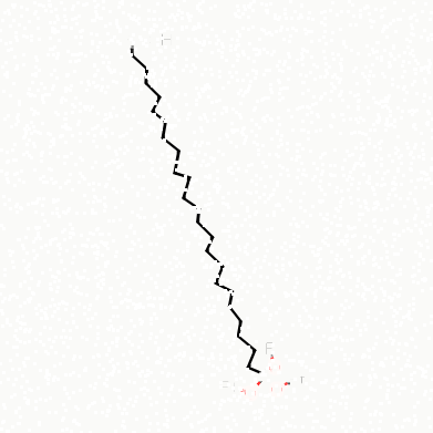 CCO[Si](CCCCCCCCCCCCCCCCCCCCCCCC(=O)O)(OCC)OCC